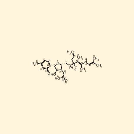 C=CCC(C)(OC[C@H]1O[C@@H](n2ccc(N)nc2=O)[C@H](O)[C@@H]1O[PH](=O)O)/C(C)=C(\C)NC=C(C)C